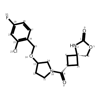 O=C1N[C@]2(CO1)C[C@@H](C(=O)N1CCC(OCc3ccc(F)cc3Cl)C1)C2